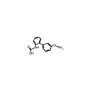 NOc1cccc(-c2ccccc2NC(=O)O)c1